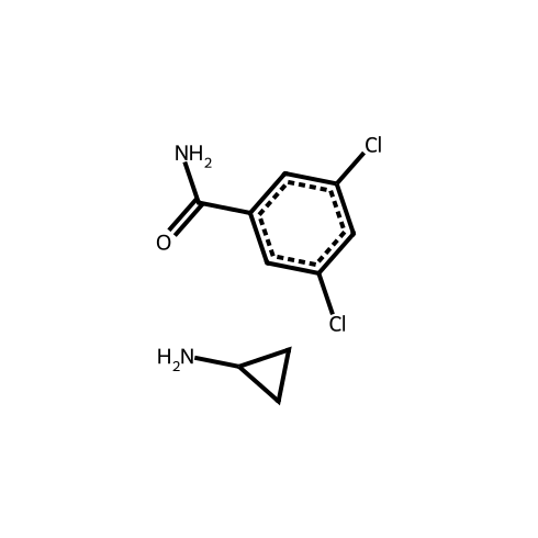 NC(=O)c1cc(Cl)cc(Cl)c1.NC1CC1